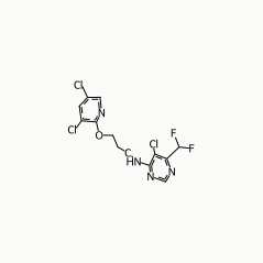 FC(F)c1ncnc(NCCCOc2ncc(Cl)cc2Cl)c1Cl